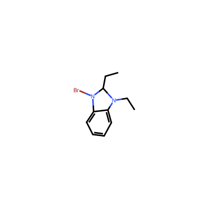 CCC1N(Br)c2ccccc2N1CC